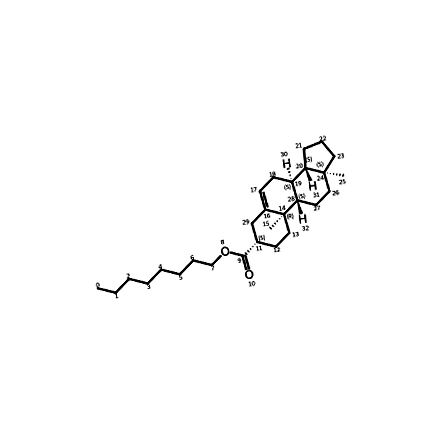 CCCCCCCCOC(=O)[C@H]1CC[C@@]2(C)C(=CC[C@H]3[C@@H]4CCC[C@@]4(C)CC[C@@H]32)C1